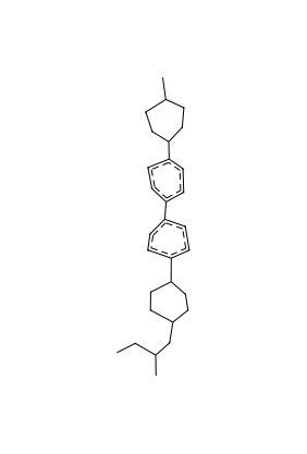 CCC(C)CC1CCC(c2ccc(-c3ccc(C4CCC(C)CC4)cc3)cc2)CC1